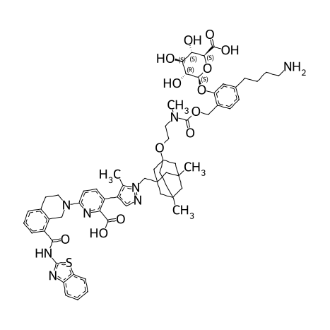 Cc1c(-c2ccc(N3CCc4cccc(C(=O)Nc5nc6ccccc6s5)c4C3)nc2C(=O)O)cnn1CC12CC3(C)CC(C)(C1)CC(OCCN(C)C(=O)OCc1ccc(CCCCN)cc1O[C@@H]1O[C@H](C(=O)O)[C@@H](O)[C@H](O)[C@H]1O)(C3)C2